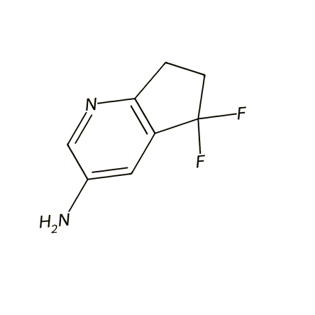 Nc1cnc2c(c1)C(F)(F)CC2